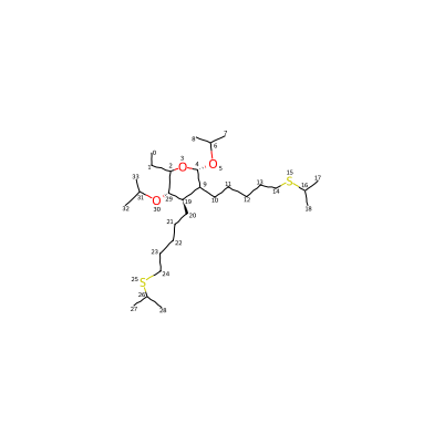 CCC1O[C@H](OC(C)C)C(CCCCCSC(C)C)[C@@H](CCCCCSC(C)C)[C@@H]1OC(C)C